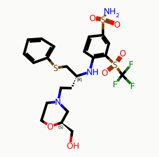 NS(=O)(=O)c1ccc(N[C@H](CCN2CCO[C@H](CO)C2)CSc2ccccc2)c(S(=O)(=O)C(F)(F)F)c1